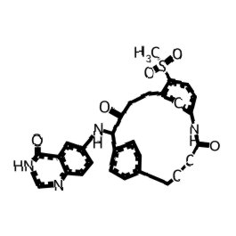 CS(=O)(=O)c1ccc2cc1CCC(=O)C(Nc1ccc3nc[nH]c(=O)c3c1)c1ccc(cc1)CCCC(=O)N2